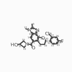 Cc1nc2c3c(c(C(=O)N4CC(O)C4)cc2n1C)CC[C@@H](c1ccc(F)cc1Cl)O3